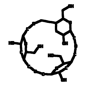 OCC1OC2COCC3CC(O)C(COCC4CC(O)C(COCC1CC2O)OC4CO)OC3CO